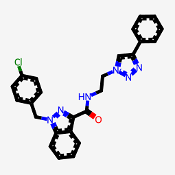 O=C(NCCn1cc(-c2ccccc2)nn1)c1nn(Cc2ccc(Cl)cc2)c2ccccc12